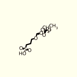 C.C.COC=O.O=COCCCS(=O)(=O)O